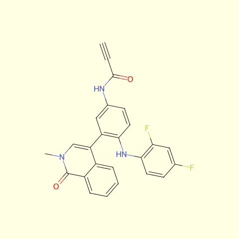 C#CC(=O)Nc1ccc(Nc2ccc(F)cc2F)c(-c2cn(C)c(=O)c3ccccc23)c1